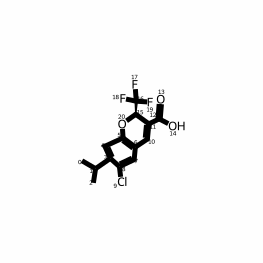 CC(C)c1cc2c(cc1Cl)C=C(C(=O)O)[C@H](C(F)(F)F)O2